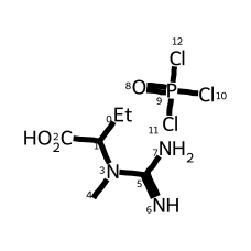 CCC(C(=O)O)N(C)C(=N)N.O=P(Cl)(Cl)Cl